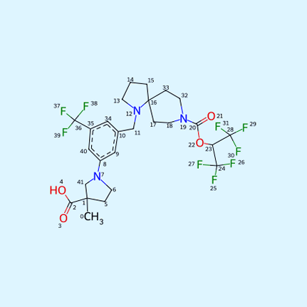 CC1(C(=O)O)CCN(c2cc(CN3CCCC34CCN(C(=O)OC(C(F)(F)F)C(F)(F)F)CC4)cc(C(F)(F)F)c2)C1